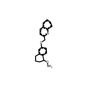 NOC1CCCc2cc(OCc3ccc4ccccc4n3)ccc21